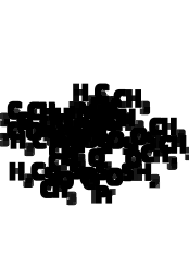 CC(C)O[Si]1(O[SiH2]O[Si](C)(C)C)O[Si]2(O[Si](C)(C)C)O[Si]3(OC(C)C)O[SiH2]O[Si]4(O[Si](C)(C)C)O[Si](O[Si](C)(C)C)(O1)O[Si](O[Si](C)(C)C)(O2)O[Si](O[Si](C)(C)C)(O3)O4